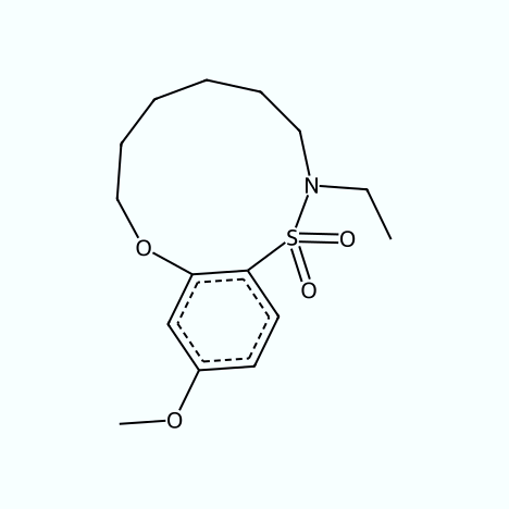 CCN1CCCCCCOc2cc(OC)ccc2S1(=O)=O